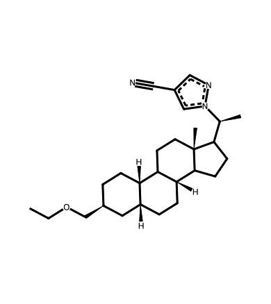 CCOC[C@H]1CC[C@@H]2C3CC[C@@]4(C)C(CCC4[C@H](C)n4cc(C#N)cn4)[C@@H]3CC[C@@H]2C1